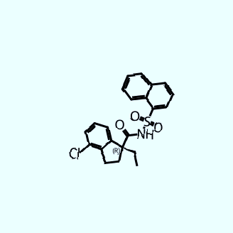 CC[C@@]1(C(=O)NS(=O)(=O)c2cccc3ccccc23)CCc2c(Cl)cccc21